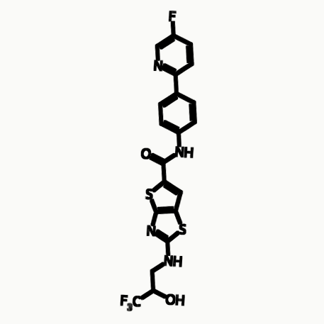 O=C(Nc1ccc(-c2ccc(F)cn2)cc1)c1cc2sc(NCC(O)C(F)(F)F)nc2s1